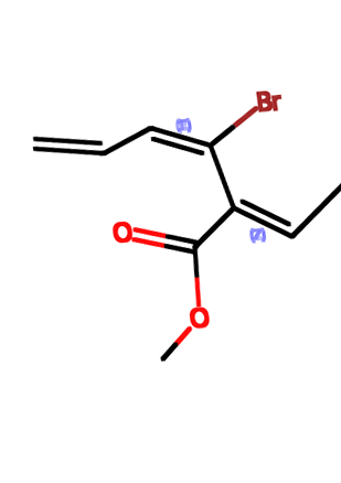 C=C/C=C(Br)\C(=C/C)C(=O)OC